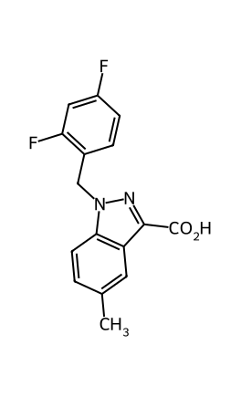 Cc1ccc2c(c1)c(C(=O)O)nn2Cc1ccc(F)cc1F